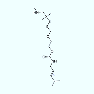 CNCC(C)(C)SSCOCCOC(=O)NC/C=C/C(C)C